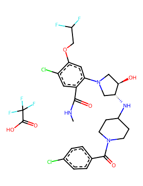 CNC(=O)c1cc(Cl)c(OCC(F)F)cc1N1C[C@@H](O)[C@H](NC2CCN(C(=O)c3ccc(Cl)cc3)CC2)C1.O=C(O)C(F)(F)F